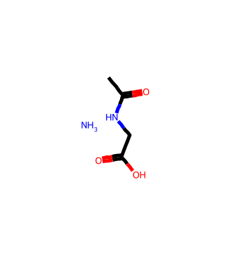 CC(=O)NCC(=O)O.N